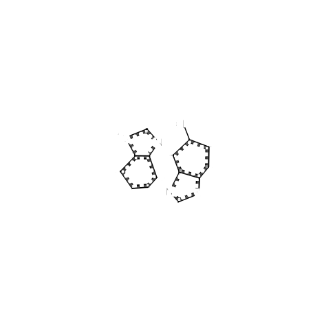 Clc1ccc2scnc2c1.c1ccc2scnc2c1